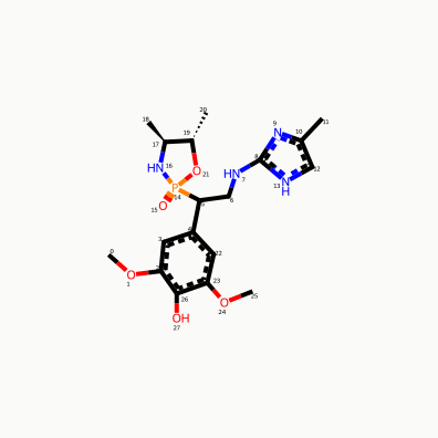 COc1cc(C(CNc2nc(C)c[nH]2)P2(=O)N[C@@H](C)[C@H](C)O2)cc(OC)c1O